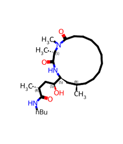 CCCCNC(=O)[C@H](C)C[C@H](O)[C@@H]1C[C@H](C)CCCCCCCCCC(=O)N(C)[C@@H](C)C(=O)N1